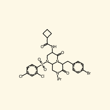 CC(C)N1CC2N(C(=O)C(NC(=O)C3CCC3)CN2S(=O)(=O)c2ccc(Cl)cc2Cl)C(Cc2ccc(Br)cc2)C1=O